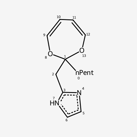 CCCCCC1(Cc2ncc[nH]2)OC=CC=CO1